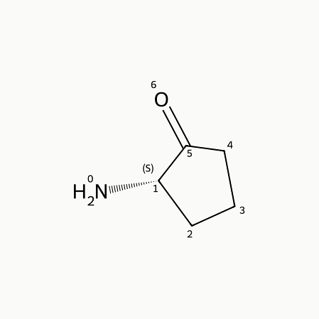 N[C@H]1CCCC1=O